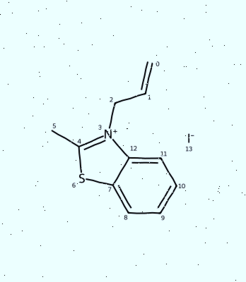 C=CC[n+]1c(C)sc2ccccc21.[I-]